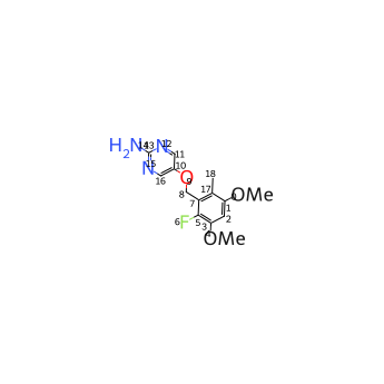 COc1cc(OC)c(F)c(COc2cnc(N)nc2)c1C